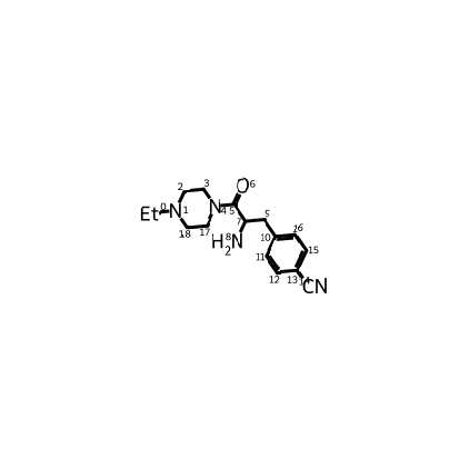 CCN1CCN(C(=O)C(N)Cc2ccc(C#N)cc2)CC1